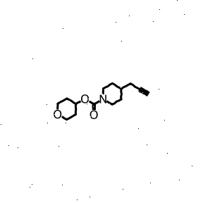 C#CCC1CCN(C(=O)OC2CCOCC2)CC1